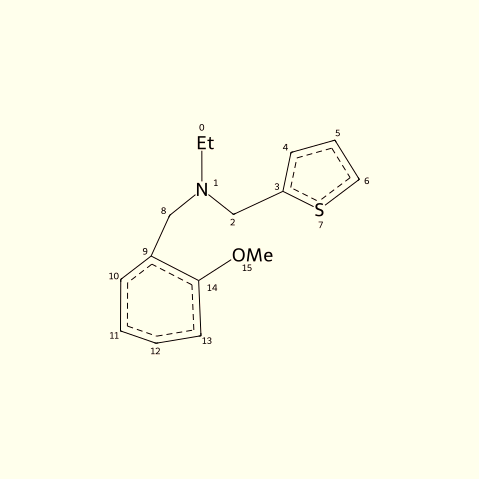 CCN(Cc1cccs1)Cc1ccccc1OC